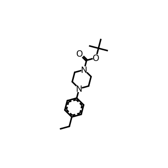 CCc1ccc(N2CCN(C(=O)OC(C)(C)C)CC2)cc1